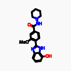 COc1cc(C(=O)NN2CCCCC2)ccc1-c1nc2cccc(O)c2[nH]1